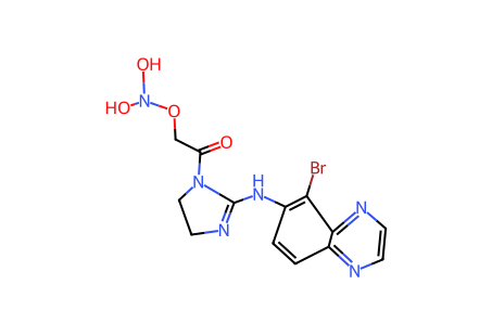 O=C(CON(O)O)N1CCN=C1Nc1ccc2nccnc2c1Br